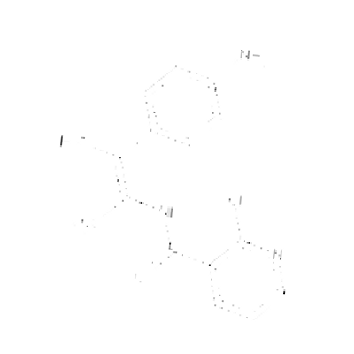 C/C(=C(/NC(=O)c1cccnc1Cl)C(=O)O)c1ccc(N)cc1